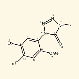 CCc1cc(-n2nnn(C)c2=O)c(OC)cc1F